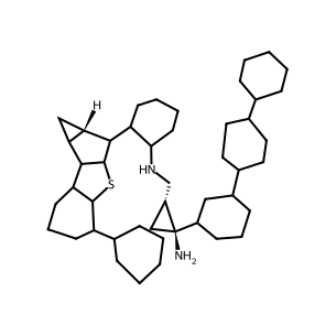 N[C@@]1(C2CCCC(C3CCC(C4CCCCC4)CC3)C2)C[C@@H]1CNC1CCCCC1C1C2SC3C(C4CCCCC4)CCCC3C2C2C[C@@H]21